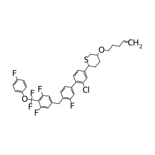 C=CCCCOC1CCC(c2ccc(-c3ccc(Cc4cc(F)c(C(F)(F)Oc5ccc(F)cc5)c(F)c4)c(F)c3)c(Cl)c2)SC1